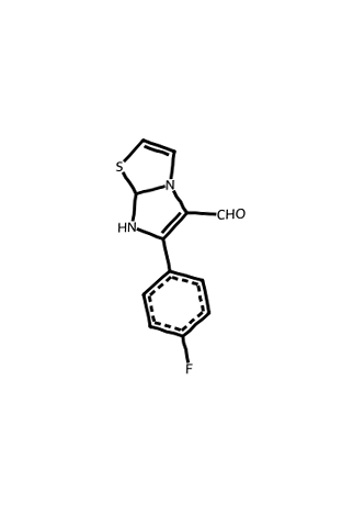 O=CC1=C(c2ccc(F)cc2)NC2SC=CN12